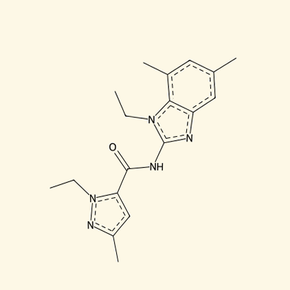 CCn1nc(C)cc1C(=O)Nc1nc2cc(C)cc(C)c2n1CC